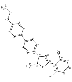 CCOc1ccc(-c2ccc([C@@H]3N=C(c4c(F)cccc4Cl)O[C@@H]3C)cc2)cc1